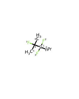 CCC[Si](F)(F)C(C)(C)F